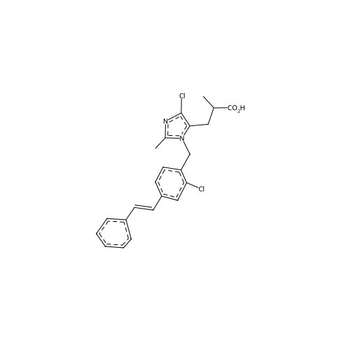 Cc1nc(Cl)c(CC(C)C(=O)O)n1Cc1ccc(/C=C/c2ccccc2)cc1Cl